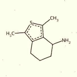 Cc1sc(C)c2c1CCCC2N